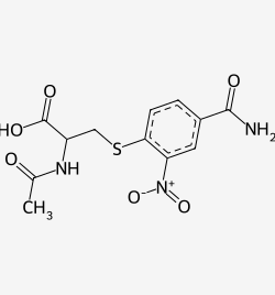 CC(=O)NC(CSc1ccc(C(N)=O)cc1[N+](=O)[O-])C(=O)O